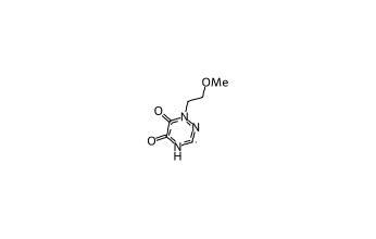 COCCn1n[c][nH]c(=O)c1=O